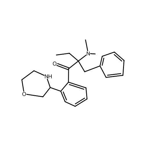 CCC(Cc1ccccc1)(C(=O)c1ccccc1C1COCCN1)N(C)C